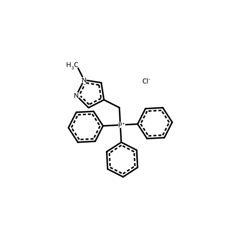 Cn1cc(C[P+](c2ccccc2)(c2ccccc2)c2ccccc2)cn1.[Cl-]